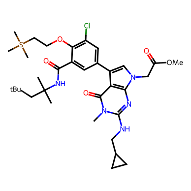 COC(=O)Cn1cc(-c2cc(Cl)c(OCCS(C)(C)C)c(C(=O)NC(C)(C)CC(C)(C)C)c2)c2c(=O)n(C)c(NCC3CC3)nc21